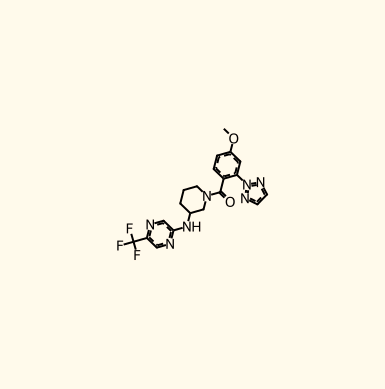 COc1ccc(C(=O)N2CCCC(Nc3cnc(C(F)(F)F)cn3)C2)c(-n2nccn2)c1